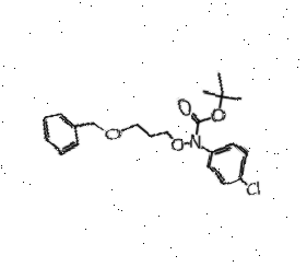 CC(C)(C)OC(=O)N(OCCCOCc1ccccc1)c1ccc(Cl)cc1